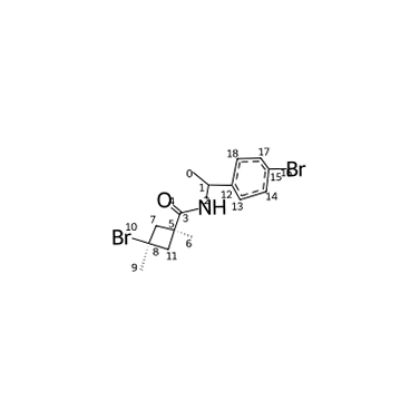 CC(NC(=O)[C@]1(C)C[C@](C)(Br)C1)c1ccc(Br)cc1